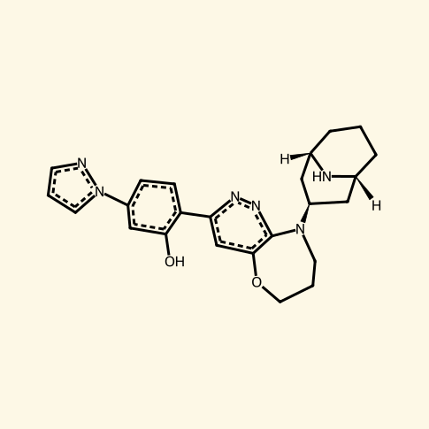 Oc1cc(-n2cccn2)ccc1-c1cc2c(nn1)N([C@@H]1C[C@H]3CCC[C@@H](C1)N3)CCCO2